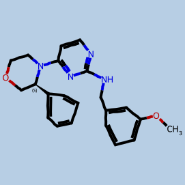 COc1cccc(CNc2nccc(N3CCOC[C@@H]3c3ccccc3)n2)c1